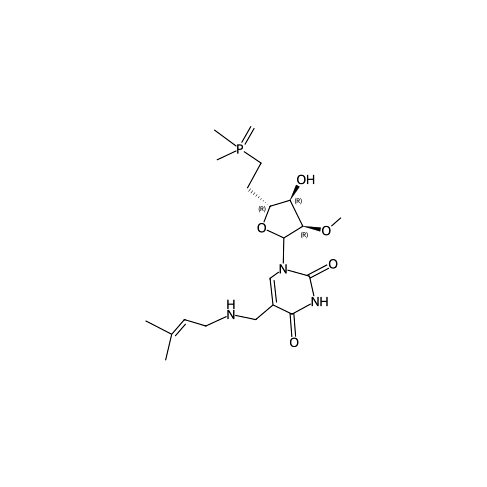 C=P(C)(C)CC[C@H]1OC(n2cc(CNCC=C(C)C)c(=O)[nH]c2=O)[C@H](OC)[C@@H]1O